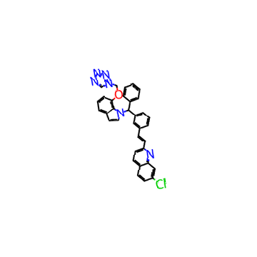 Clc1ccc2ccc(/C=C/c3cccc(C(c4ccccc4)n4ccc5cccc(OCn6cnnn6)c54)c3)nc2c1